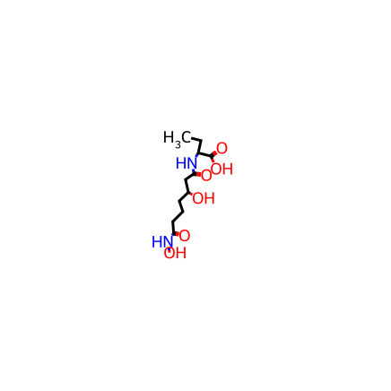 CCC(NC(=O)CC(O)CCCC(=O)NO)C(=O)O